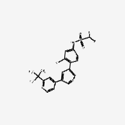 CC(C)(C)c1cc(-c2cncc(-c3ccc(NS(=O)(=O)C(F)F)cc3Cl)c2)ccn1